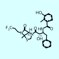 Cc1c(O)cccc1C(=O)NC(Cc1ccccc1)[C@H](O)C(=O)N1CSC2(C)[C@H]1C(=O)N2CCC(F)(F)F